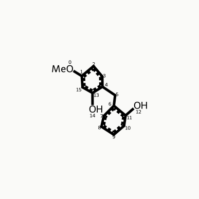 COc1ccc(Cc2ccccc2O)c(O)c1